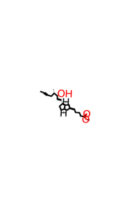 CC#CC[C@H](C)[C@H](O)/C=C/[C@H]1CC[C@@H]2C/C(=C\CCCC(=O)OC)C[C@@H]21